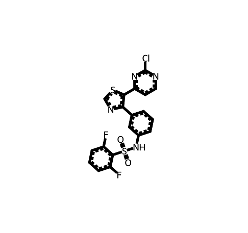 O=S(=O)(Nc1cccc(-c2ncsc2-c2ccnc(Cl)n2)c1)c1c(F)cccc1F